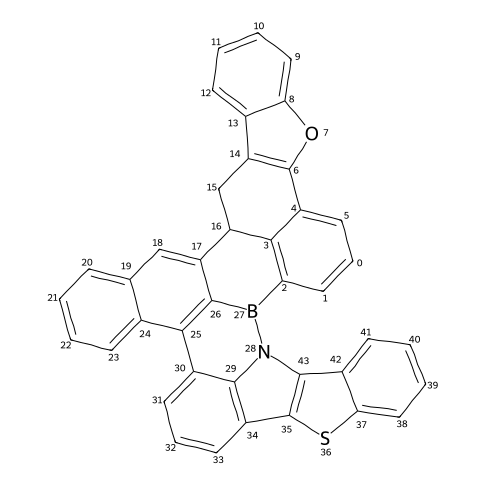 c1cc2c3c(c1)-c1oc4ccccc4c1CC3c1cc3ccccc3c3c1B2n1c2c-3cccc2c2sc3ccccc3c21